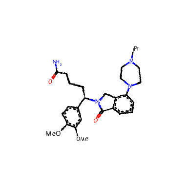 COc1ccc([C@@H](CCCC(N)=O)N2Cc3c(cccc3N3CCN(C(C)C)CC3)C2=O)cc1OC